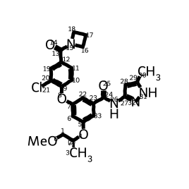 COC[C@H](C)Oc1cc(Oc2ccc(C(=O)N3CCC3)cc2Cl)cc(C(=O)Nc2cc(C)[nH]n2)c1